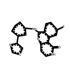 O=c1[nH]ccc2nc(Nc3cccc(-c4cscn4)c3)c3ccc(F)cc3c12